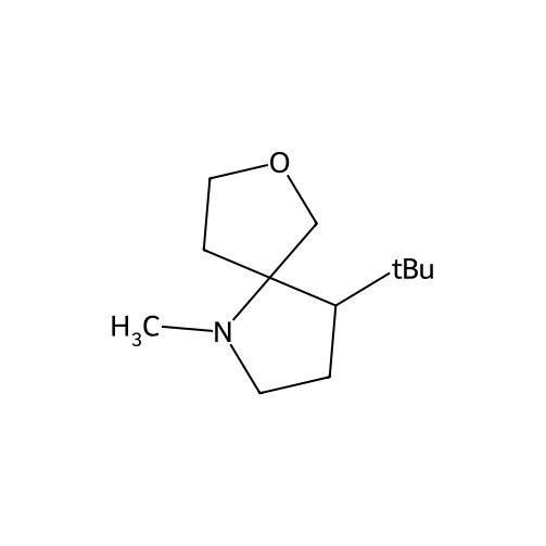 CN1CCC(C(C)(C)C)C12CCOC2